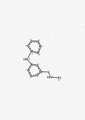 CCNCc1cccc(Nc2ccccc2)c1